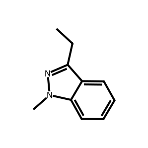 CCc1nn(C)c2ccccc12